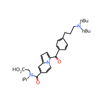 CCCCN(CCCC)CCCc1ccc(C(=O)c2ccc3cc(C(=O)N(CC(=O)O)C(C)C)ccn23)cc1